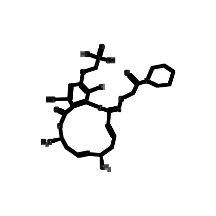 C[C@@H]1C/C=C/[C@H](C)C/C=C/C(=N/OCC(=O)N2CCCCC2)Cc2c(Cl)c(OCP(=O)(O)O)cc(O)c2C(=O)O1